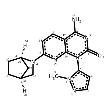 Cn1nccc1-n1c(=O)nc(N)c2ccc(N3C[C@H]4CC[C@@H]3C4)nc21